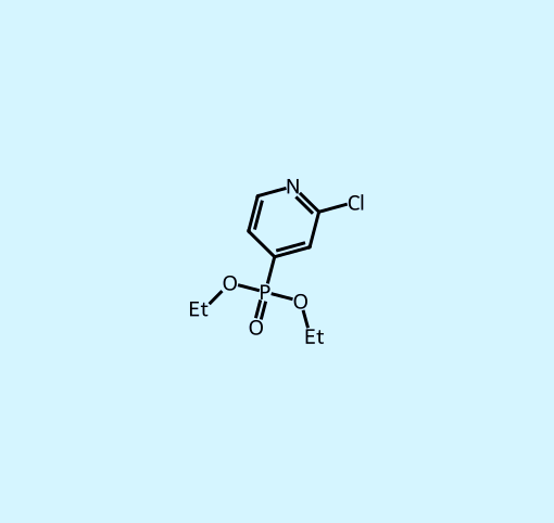 CCOP(=O)(OCC)c1ccnc(Cl)c1